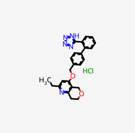 CCc1cc(OCc2ccc(-c3ccccc3-c3nnn[nH]3)cc2)c2c(n1)CCOC2.Cl